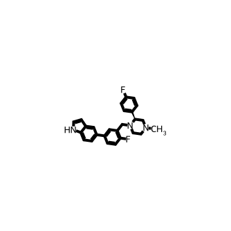 CN1CCN(Cc2cc(-c3ccc4[nH]ccc4c3)ccc2F)[C@@H](c2ccc(F)cc2)C1